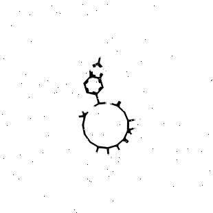 Cc1nc2cc(C3NC(=O)CC(O)C(C)(C)C(=O)C(C)C(O)C(C)CCCC(C)(C)O3)ccc2s1